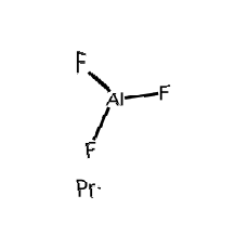 [F][Al]([F])[F].[Pr]